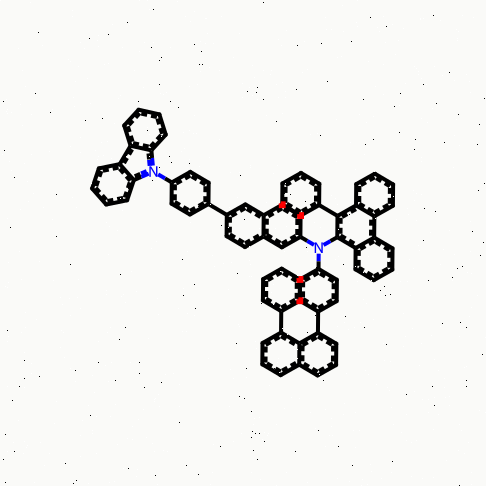 c1ccc(-c2c(N(c3ccc(-c4cccc5cccc(-c6ccccc6)c45)cc3)c3ccc4cc(-c5ccc(-n6c7ccccc7c7ccccc76)cc5)ccc4c3)c3ccccc3c3ccccc23)cc1